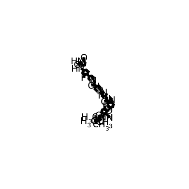 CN(C(C)(C)C)S(=O)(=O)Nc1ccc(F)c(Oc2ccc3ncn(-c4cnc(N5CCN(C(=O)CN6CCC(c7ccc(N[C@H]8CCC(=O)NC8=O)cc7F)CC6)CC5)nc4)c(=O)c3c2)c1C#N